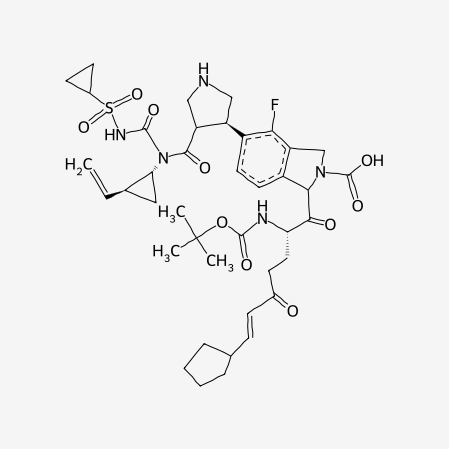 C=C[C@@H]1C[C@H]1N(C(=O)NS(=O)(=O)C1CC1)C(=O)C1CNC[C@H]1c1ccc2c(c1F)CN(C(=O)O)C2C(=O)[C@H](CCC(=O)/C=C/C1CCCC1)NC(=O)OC(C)(C)C